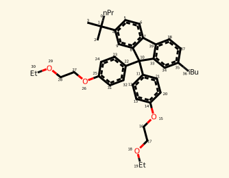 CCCC(C)(C)c1ccc2c(c1)C(c1ccc(OCCOCC)cc1)(c1ccc(OCCOCC)cc1)c1cc(C(C)CC)ccc1-2